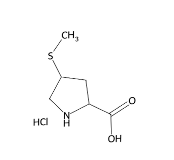 CSC1CNC(C(=O)O)C1.Cl